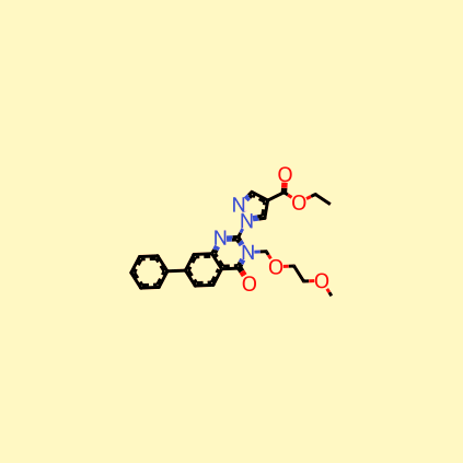 CCOC(=O)c1cnn(-c2nc3cc(-c4ccccc4)ccc3c(=O)n2COCCOC)c1